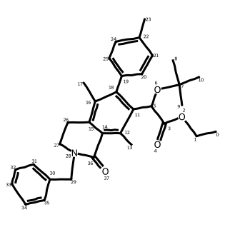 CCOC(=O)C(OC(C)(C)C)c1c(C)c2c(c(C)c1-c1ccc(C)cc1)CCN(Cc1ccccc1)C2=O